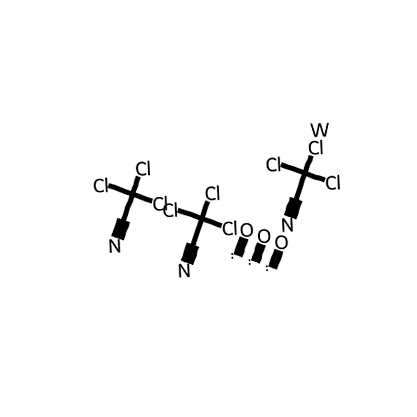 N#CC(Cl)(Cl)Cl.N#CC(Cl)(Cl)Cl.N#CC(Cl)(Cl)Cl.[C]=O.[C]=O.[C]=O.[W]